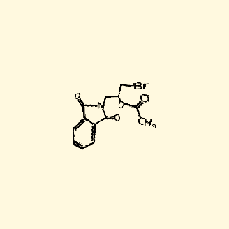 CC(=O)O[C@H](CBr)CN1C(=O)c2ccccc2C1=O